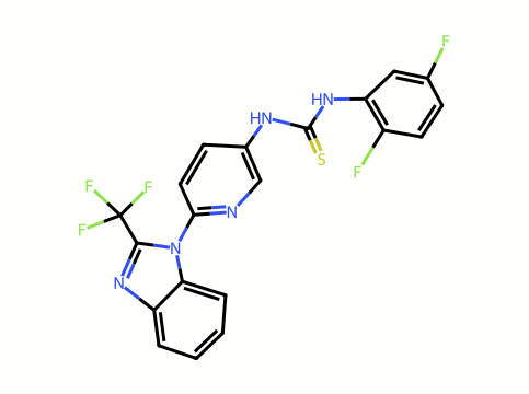 Fc1ccc(F)c(NC(=S)Nc2ccc(-n3c(C(F)(F)F)nc4ccccc43)nc2)c1